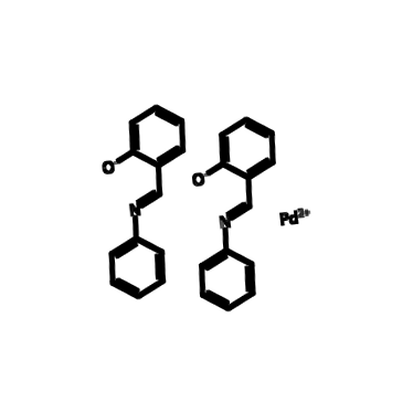 [O-]c1ccccc1C=Nc1ccccc1.[O-]c1ccccc1C=Nc1ccccc1.[Pd+2]